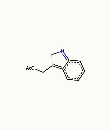 CC(=O)OCC1=c2ccccc2=NC1